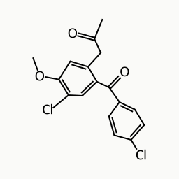 COc1cc(CC(C)=O)c(C(=O)c2ccc(Cl)cc2)cc1Cl